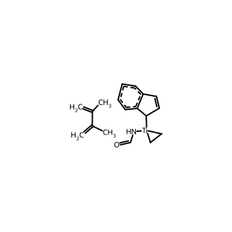 C=C(C)C(=C)C.O=C[NH][Ti]1([CH]2C=Cc3ccccc32)[CH2][CH2]1